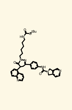 CC(C)(C)OC(=O)NCCCCCCN1N=C(c2ccc(NC(=O)N3Cc4ccncc4C3)cc2)CC(c2cccc3ncccc23)C1=O